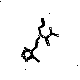 C=CCN(CCc1nonc1C)C(=O)C(Cl)Cl